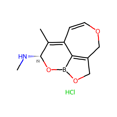 CN[C@H]1OB2OCC3=C2C(=C1C)C=COC3.Cl